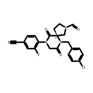 N#Cc1ccc(N2CC(=O)N(Cc3ccc(Cl)cc3)[C@]3(CCN(C=O)C3)C2=O)c(F)c1